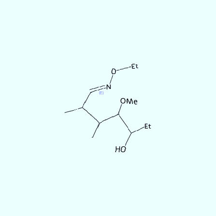 CCO/N=C/C(C)C(C)C(OC)C(O)CC